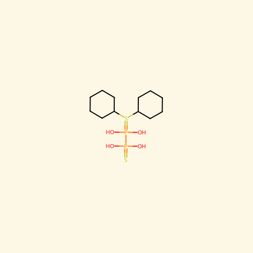 OP(O)(=S)P(O)(O)=S(C1CCCCC1)C1CCCCC1